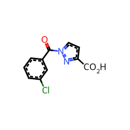 O=C(O)c1ccn(C(=O)c2cccc(Cl)c2)n1